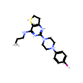 CCCNc1nc(N2CCN(c3ccc(I)cc3)CC2)nc2c1SCC2